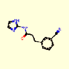 N#Cc1cccc(CCC(=O)Nc2ncc[nH]2)c1